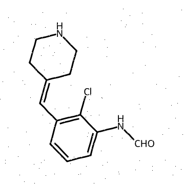 O=CNc1cccc(C=C2CCNCC2)c1Cl